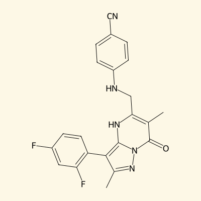 Cc1nn2c(=O)c(C)c(CNc3ccc(C#N)cc3)[nH]c2c1-c1ccc(F)cc1F